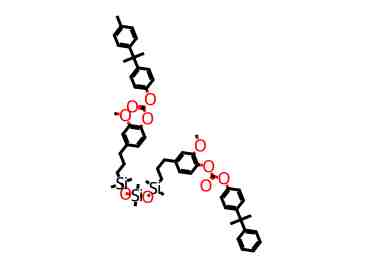 COc1cc(CCC[Si](C)(C)O[Si](C)(C)O[Si](C)(C)CCCc2ccc(OC(=O)Oc3ccc(C(C)(C)c4ccc(C)cc4)cc3)c(OC)c2)ccc1OC(=O)Oc1ccc(C(C)(C)c2ccccc2)cc1